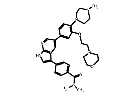 CN1CCN(c2ccc(-c3cnc4[nH]cc(-c5ccc(C(=O)N(C)C)cc5)c4c3)cc2OCCN2CCOCC2)CC1